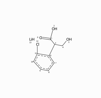 O=C(O)C(CO)c1ccccc1Cl.[LiH]